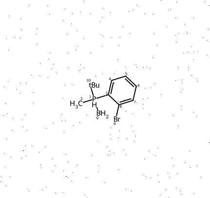 B[PH](C)(c1ccccc1Br)C(C)(C)C